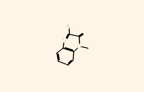 Cn1c(=O)c(N)nc2[c]cccc21